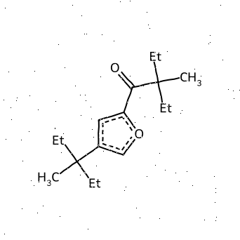 CCC(C)(CC)C(=O)c1cc(C(C)(CC)CC)co1